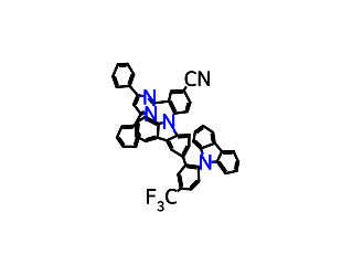 N#Cc1ccc(-n2c3ccccc3c3cc(-c4cc(C(F)(F)F)ccc4-n4c5ccccc5c5ccccc54)ccc32)c(-c2nc(-c3ccccc3)cc(-c3ccccc3)n2)c1